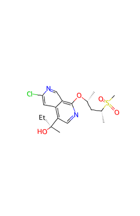 CC[C@](C)(O)c1cnc(O[C@H](C)C[C@@H](C)S(C)(=O)=O)c2cnc(Cl)cc12